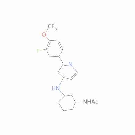 CC(=O)NC1CCCC(Nc2ccnc(-c3ccc(OC(F)(F)F)c(F)c3)c2)C1